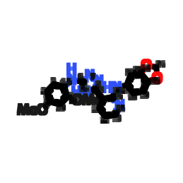 COc1ccc(Nc2nnc(-c3cccnc3Nc3ccc4c(c3)OCO4)[nH]2)c(OC)c1